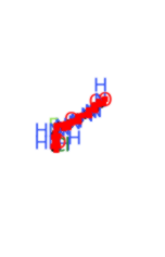 O=C1CCC(c2ccc(N3CCN(CCC4CCN(NC(=O)c5ccc(Nc6ncc(F)c(Nc7ccc(C(=O)Nc8ccccc8Cl)cc7)n6)cc5)CC4)CC3)nc2)C(=O)N1